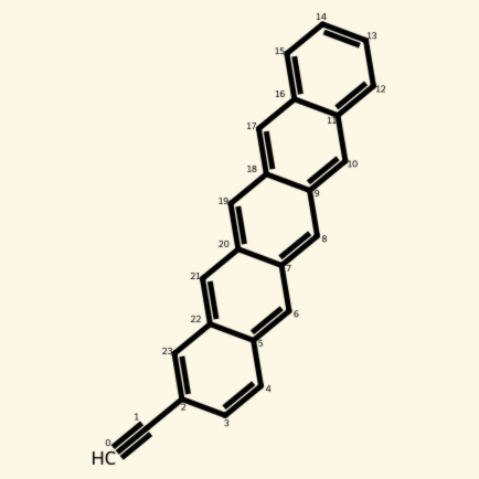 C#Cc1ccc2cc3cc4cc5ccccc5cc4cc3cc2c1